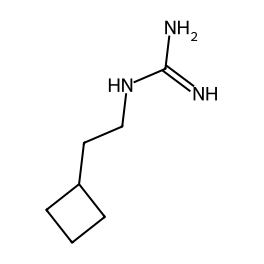 N=C(N)NCCC1CCC1